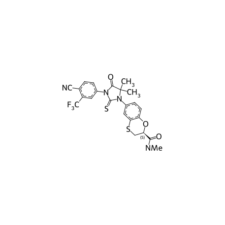 CNC(=O)[C@H]1CSc2cc(N3C(=S)N(c4ccc(C#N)c(C(F)(F)F)c4)C(=O)C3(C)C)ccc2O1